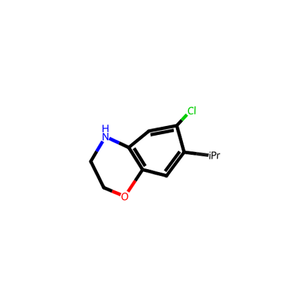 CC(C)c1cc2c(cc1Cl)NCCO2